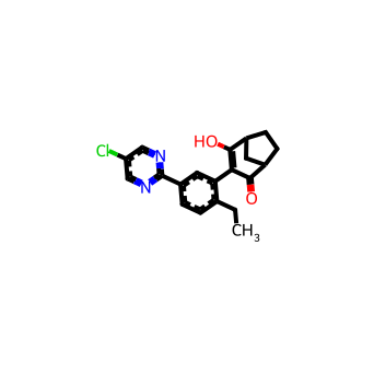 CCc1ccc(-c2ncc(Cl)cn2)cc1C1=C(O)C2CCC(C2)C1=O